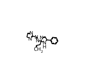 C=CCC1(N=NC2=NCC=N2)N=CC(c2ccccc2)N1